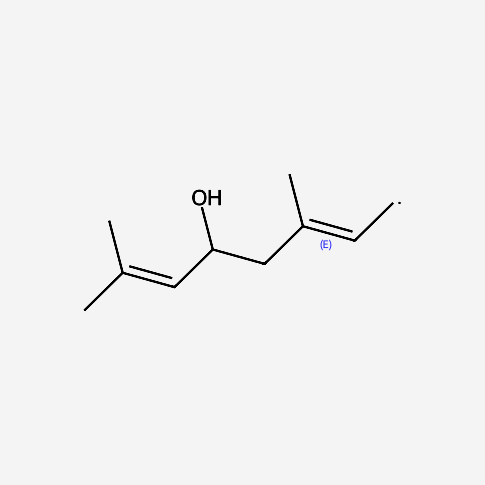 [CH2]/C=C(\C)CC(O)C=C(C)C